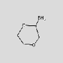 BC1COCCO1